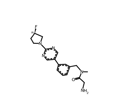 CN(Cc1cccc(-c2cnc(N3CC[C@@H](F)C3)nc2)c1)C(=O)CN